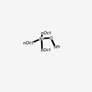 CCCCCCC[CH2][Sn]([CH2]CCCCCCC)([CH2]CCCCCCC)[O]CCC